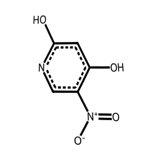 O=[N+]([O-])c1cnc(O)cc1O